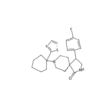 O=C1NCC(c2ccc(F)cc2)C12CCN(C1(c3nccs3)CCCCC1)CC2